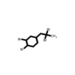 CC(Br)(Br)CC1CCC(Br)C(Br)C1